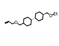 C=CCOCC1CCC([C@H]2CC[C@H](COCC)CC2)CC1